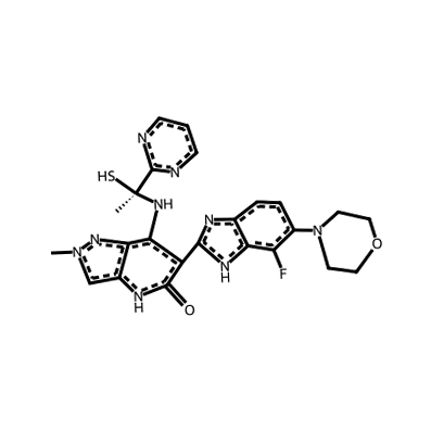 Cn1cc2[nH]c(=O)c(-c3nc4ccc(N5CCOCC5)c(F)c4[nH]3)c(N[C@@](C)(S)c3ncccn3)c2n1